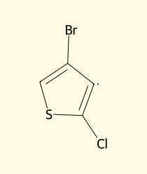 Clc1[c]c(Br)cs1